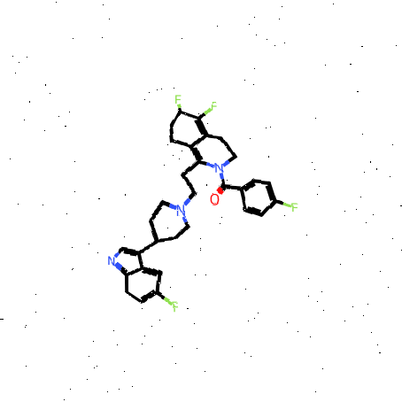 O=C(c1ccc(F)cc1)N1CCC2=C(F)C(F)CCC2=C1CCN1CCC(C2=CN=C3CC=C(F)C=C23)CC1